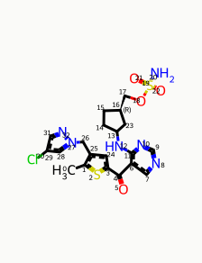 Cc1sc(C(=O)c2cncnc2NC2CC[C@@H](COS(N)(=O)=O)C2)cc1Cn1cc(Cl)cn1